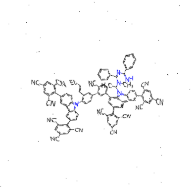 CC/C=C/c1cc(-c2cc(-c3cc(-c4c(C#N)cc(C#N)cc4C#N)cc4c5cc(-c6c(C#N)cc(C#N)cc6C#N)ccc5n(C(C)N(C)/C(=N\C(=N)c5ccccc5)c5ccccc5)c34)ccc2C#N)ccc1-n1c2ccc(-c3c(C#N)cc(C#N)cc3C#N)cc2c2cc(-c3c(C#N)cc(C#N)cc3C#N)ccc21